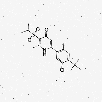 Cc1cc(C(C)(C)C)c(Cl)cc1-c1cc(=O)c(S(=O)(=O)C(C)C)c(C)[nH]1